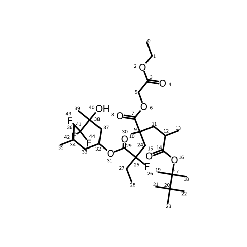 CCOC(=O)COC(=O)C(C)(CC(C)C(=O)OC(C)(C)C(C)(C)C)CC(F)(CC)C(=O)OC(CC(C)C)CC(C)(O)C(F)(F)F